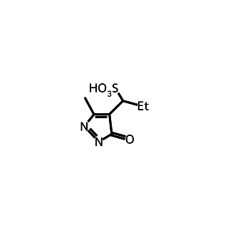 CCC(C1=C(C)N=NC1=O)S(=O)(=O)O